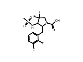 CS(=O)(=O)NC1C(Cc2cccc(Cl)c2F)N(C(=O)O)CC1(F)F